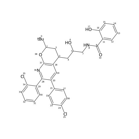 CC(C)(C)C1CC(CC(O)CNC(=O)c2ccccc2O)c2cc(-c3ccc(Cl)cc3)c(-c3ccccc3Cl)nc2O1